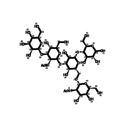 CC(=O)N[C@H]1[C@H](OC[C@H]2O[C@@H](O[C@H]3[C@H](O)[C@@H](O)C(O)O[C@@H]3CO)[C@H](O)[C@@H](O[C@@H]3O[C@H](CO)[C@@H](O)[C@H](O[C@@H]4O[C@H](CO)[C@H](O)[C@H](O)[C@H]4O)[C@H]3NC(C)=O)[C@H]2O)O[C@H](CO)[C@@H](O)[C@@H]1O